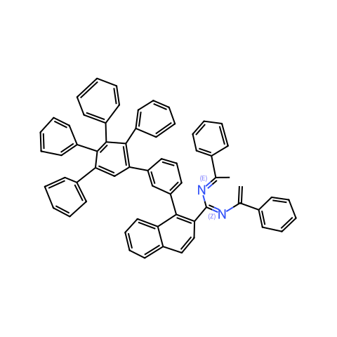 C=C(/N=C(\N=C(/C)c1ccccc1)c1ccc2ccccc2c1-c1cccc(-c2cc(-c3ccccc3)c(-c3ccccc3)c(-c3ccccc3)c2-c2ccccc2)c1)c1ccccc1